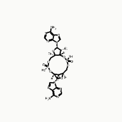 CC[C@H]1[C@H](n2cnc3c(N)ncnc32)O[C@]2(CC)CO[P@@](=O)(S)O[C@@H]3[C@@H](F)[C@@H](COP(=O)(S)O[C@@H]12)O[C@H]3n1cnc2c(N)ncnc21